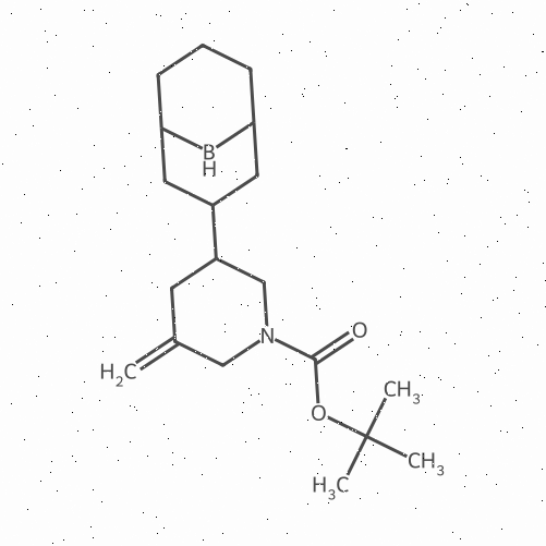 C=C1CC(C2CC3BC(CCC3)C2)CN(C(=O)OC(C)(C)C)C1